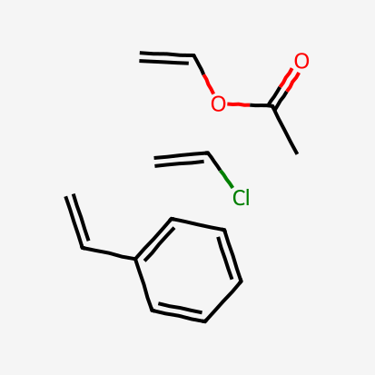 C=CCl.C=COC(C)=O.C=Cc1ccccc1